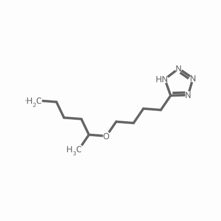 [CH2]CCCC(C)OCCCCc1nnn[nH]1